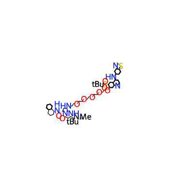 CN[C@@H](C)C(N)[C@@H](C(=O)N1C[C@@H](NCCOCCOCCOCCOCCOc2cc3nccc(Nc4ccc5scnc5c4)c3cc2S(=O)(=O)C(C)(C)C)C[C@H]1C(=O)N[C@@H]1CCCc2ccccc21)C(C)(C)C